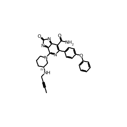 CC#CCN[C@H]1CCCN(c2nc(-c3ccc(Oc4ccccc4)cc3)c(C(N)=O)c3c2=NC(=O)N=3)C1